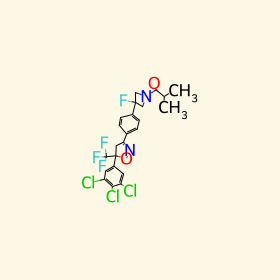 CC(C)C(=O)N1CC(F)(c2ccc(C3=NOC(c4cc(Cl)c(Cl)c(Cl)c4)(C(F)(F)F)C3)cc2)C1